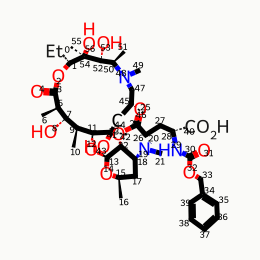 CC[C@H]1OC(=O)[C@H](C)[C@@H](O)[C@H](C)[C@@H](O[C@@H]2O[C@H](C)C[C@H](N(C)C)[C@H]2OC(=O)CC[C@@H](NC(=O)OCc2ccccc2)C(=O)O)[C@](C)(O)C[C@@H](C)CN(C)[C@H](C)[C@@H](O)[C@]1(C)O